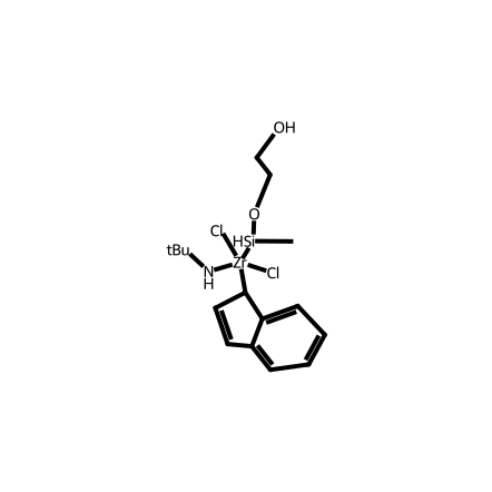 C[SiH](OCCO)[Zr]([Cl])([Cl])([NH]C(C)(C)C)[CH]1C=Cc2ccccc21